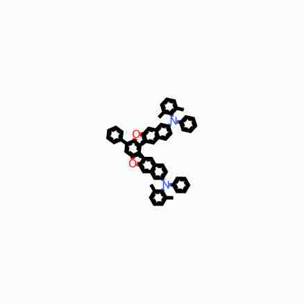 Cc1cccc(C)c1N(c1ccccc1)c1ccc2cc3c(cc2c1)oc1cc(-c2ccccc2)c2oc4cc5cc(N(c6ccccc6)c6c(C)cccc6C)ccc5cc4c2c13